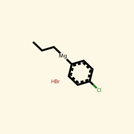 Br.CC[CH2][Mg][c]1ccc(Cl)cc1